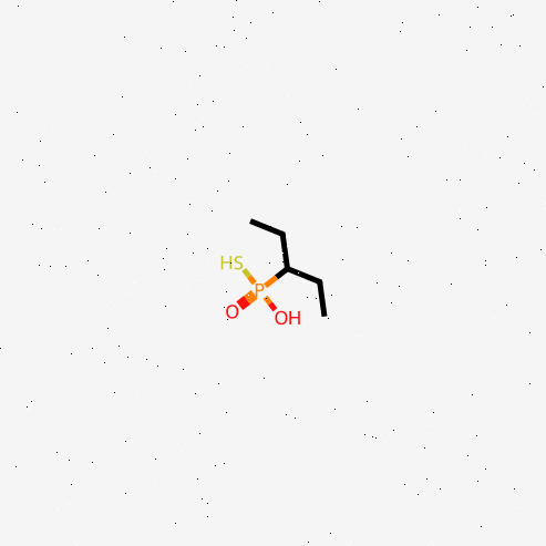 CCC(CC)P(=O)(O)S